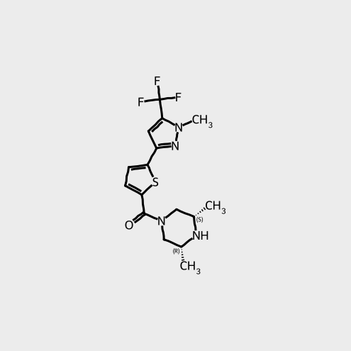 C[C@@H]1CN(C(=O)c2ccc(-c3cc(C(F)(F)F)n(C)n3)s2)C[C@H](C)N1